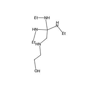 CCNC(CNCCO)(NCC)NCC